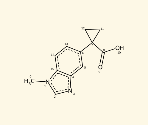 Cn1cnc2cc(C3(C(=O)O)CC3)ccc21